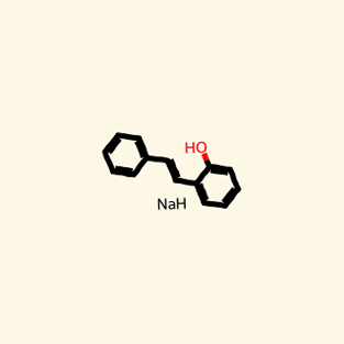 Oc1ccccc1/C=C/c1ccccc1.[NaH]